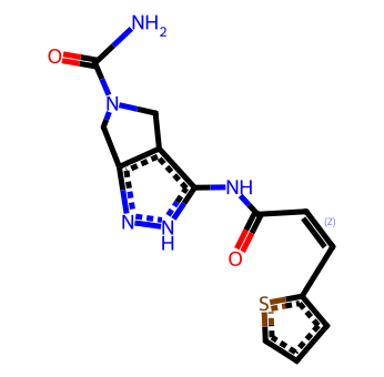 NC(=O)N1Cc2n[nH]c(NC(=O)/C=C\c3cccs3)c2C1